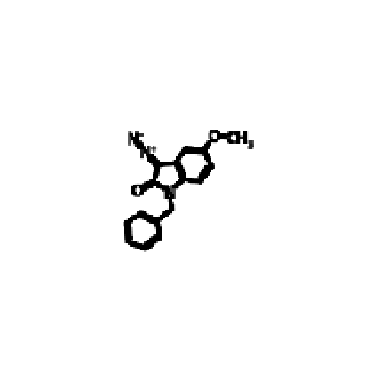 COc1ccc2c(c1)C(=[N+]=[N-])C(=O)N2Cc1ccccc1